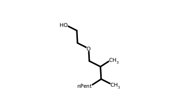 CCCCCC(C)C(C)COCCO